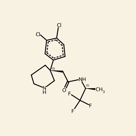 C[C@H](NC(=O)C[C@]1(c2ccc(Cl)c(Cl)c2)CCCNC1)C(F)(F)F